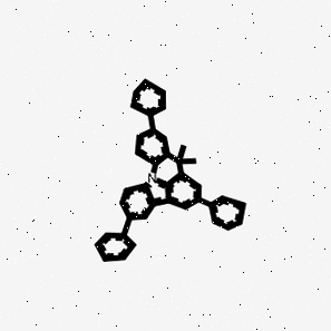 CC1(C)c2cc(-c3ccccc3)ccc2-n2c3ccc(-c4ccccc4)cc3c3cc(-c4ccccc4)cc1c32